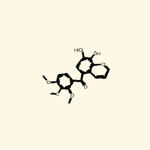 COc1ccc(C(=O)c2cc(O)c(O)c3c2C=CCO3)c(OC)c1OC